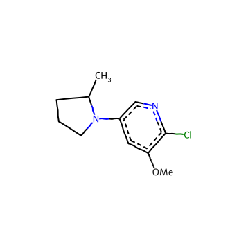 COc1cc(N2CCCC2C)cnc1Cl